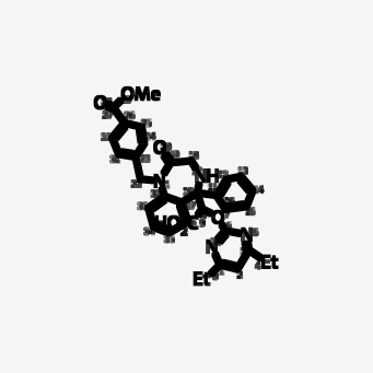 CCc1cc(CC)nc(OC(C(=O)O)C2(c3ccccc3)NCC(=O)N(Cc3ccc(C(=O)OC)cc3)c3ccccc32)n1